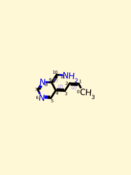 C\C=C/C=c1/cncn/c1=C/N